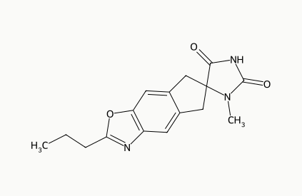 CCCc1nc2cc3c(cc2o1)CC1(C3)C(=O)NC(=O)N1C